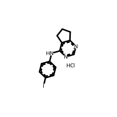 Cl.Ic1ccc(Nc2ncnc3c2CCC3)cc1